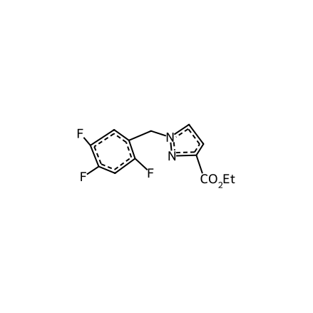 CCOC(=O)c1ccn(Cc2cc(F)c(F)cc2F)n1